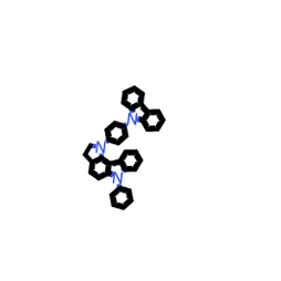 c1ccc(-n2c3ccccc3c3c4c(ccc32)CCN4c2ccc(-n3c4ccccc4c4ccccc43)cc2)cc1